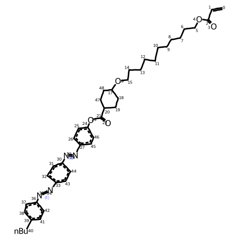 C=CC(=O)OCCCCCCCCCCCOC1CCC(C(=O)Oc2ccc(/N=N/c3ccc(/N=N/c4ccc(CCCC)cc4)cc3)cc2)CC1